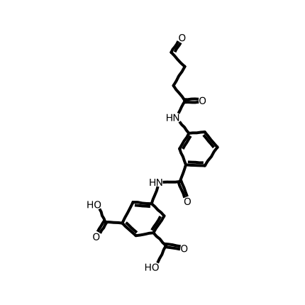 O=CCCC(=O)Nc1cccc(C(=O)Nc2cc(C(=O)O)cc(C(=O)O)c2)c1